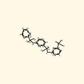 CC(C)(C)c1ccnc(CC(C)(C)c2cncc(CC(C)(C)c3ncccn3)n2)n1